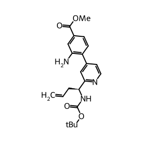 C=CC[C@H](NC(=O)OC(C)(C)C)c1cc(-c2ccc(C(=O)OC)cc2N)ccn1